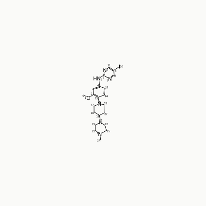 COc1cc(Nc2ncc(I)cn2)ccc1N1CCC(N2CCN(C)CC2)CC1